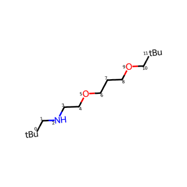 CC(C)(C)CNCCOCCCOCC(C)(C)C